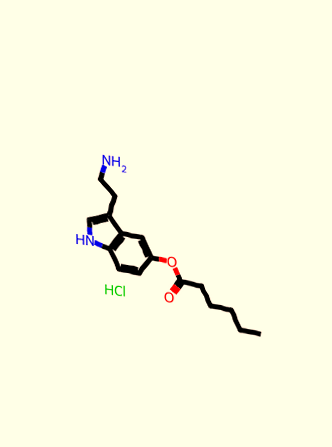 CCCCCC(=O)Oc1ccc2[nH]cc(CCN)c2c1.Cl